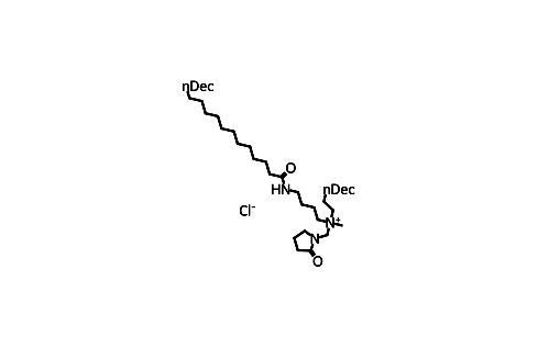 CCCCCCCCCCCCCCCCCCCCCC(=O)NCCCC[N+](C)(CCCCCCCCCCCC)CN1CCCC1=O.[Cl-]